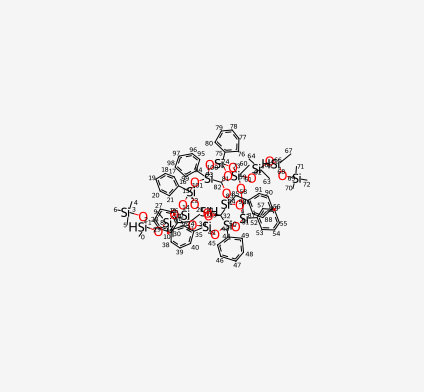 C[SiH](O[Si](C)(C)C)O[Si](C)(C)O[Si]1(C)O[Si]2(c3ccccc3)O[SiH](Cc3ccccc3)OC34O[Si](c5ccccc5)(O1)O[Si]3(c1ccccc1)O[Si]1(c3ccccc3)O[Si](C)(O[Si](C)(C)O[SiH](C)O[Si](C)(C)C)O[Si]3(c5ccccc5)OC(O[Si]4(Cc4ccccc4)O1)[Si](c1ccccc1)(O3)O2